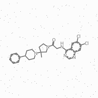 CC1(N2CCC(c3ccccc3)CC2)CCN(C(=O)CNc2ncnc3cc(Cl)c(Cl)cc23)C1